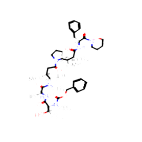 CC[C@H](C)[C@@H]([C@@H](CC(=O)N1CCC[C@H]1[C@H](OC)[C@@H](C)C(=O)N[C@@H](Cc1ccccc1)C(=O)N1CCCCO1)OC)N(C)C(=O)[C@@H](NC(=O)[C@H]([C@@H](C)O)N(C)C(=O)OCc1ccccc1)C(C)C